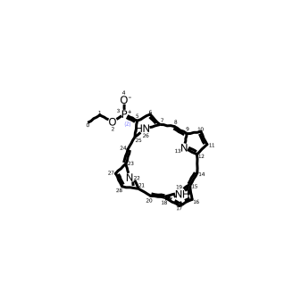 CCO/[P+]([O-])=C1/C=C2C=C3C=CC(=N3)C=c3ccc([nH]3)=CC3=NC(=CC1N2)C=C3